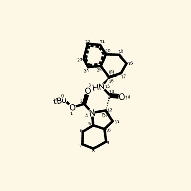 CC(C)(C)OC(=O)N1C2CCCCC2C[C@H]1C(=O)N[C@@H]1CCCc2ccccc21